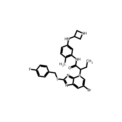 CCC(C(=O)Nc1cc(NC2CNC2)ccc1C)n1cc(Br)cc2nc(SCc3ccc(F)cc3)nc1-2